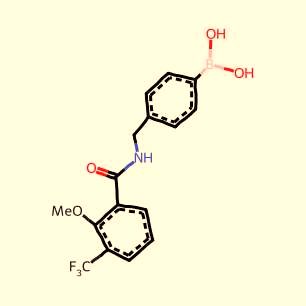 COc1c(C(=O)NCc2ccc(B(O)O)cc2)cccc1C(F)(F)F